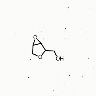 OCC1OCC2OC12